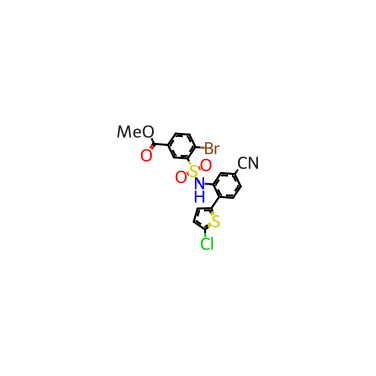 COC(=O)c1ccc(Br)c(S(=O)(=O)Nc2cc(C#N)ccc2-c2ccc(Cl)s2)c1